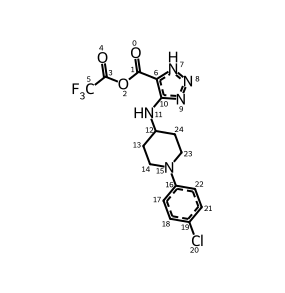 O=C(OC(=O)C(F)(F)F)c1[nH]nnc1NC1CCN(c2ccc(Cl)cc2)CC1